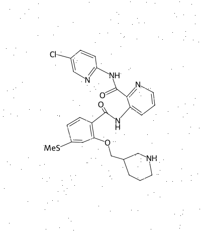 CSc1ccc(C(=O)Nc2cccnc2C(=O)Nc2ccc(Cl)cn2)c(OCC2CCCNC2)c1